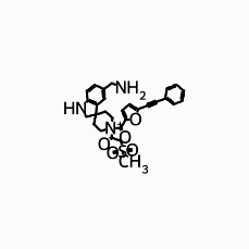 CS(=O)(=O)CC(=O)[N+]1(C(=O)c2ccc(C#Cc3ccccc3)o2)CCC2(CC1)CNc1ccc(CN)cc12